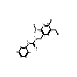 CCc1cc(COC(=O)Oc2ccccc2)c(OC)nc1C